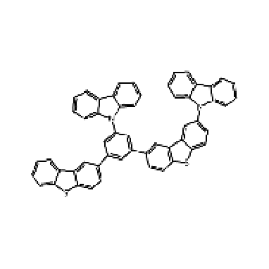 c1ccc2c(c1)sc1ccc(-c3cc(-c4ccc5sc6ccc(-n7c8ccccc8c8ccccc87)cc6c5c4)cc(-n4c5ccccc5c5ccccc54)c3)cc12